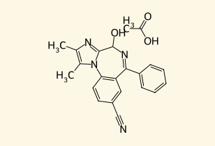 CC(=O)O.Cc1nc2n(c1C)-c1ccc(C#N)cc1C(c1ccccc1)=NC2O